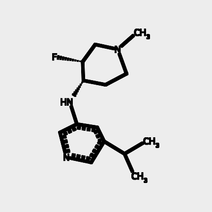 CC(C)c1cncc(N[C@H]2CCN(C)C[C@H]2F)c1